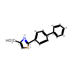 O=C(O)c1csc(-c2ccc(-c3ccccc3)cc2)n1